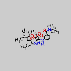 CC[C@@H](Nc1c(Nc2cccc(C(=O)N(C)C)c2O)c(=O)c1=O)c1cc(C(C)C)c(C)o1